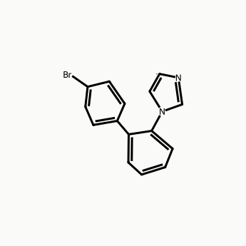 Brc1ccc(-c2ccccc2-n2c[c]nc2)cc1